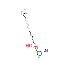 N#Cc1cc(F)cc(CO[C@H](CO)CCCCCCCCCCCCCCCCC(F)(F)F)c1